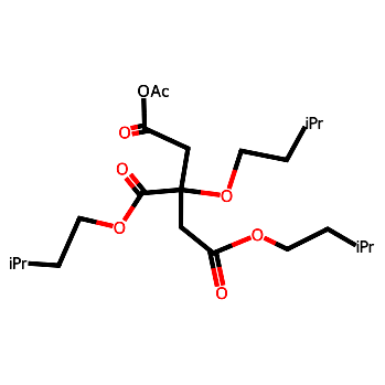 CC(=O)OC(=O)CC(CC(=O)OCCC(C)C)(OCCC(C)C)C(=O)OCCC(C)C